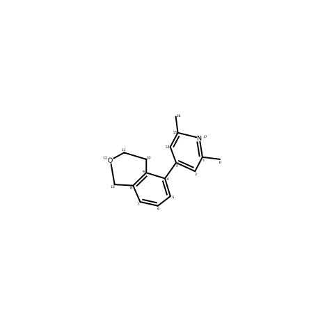 Cc1cc(-c2cccc3c2CCOC3)cc(C)n1